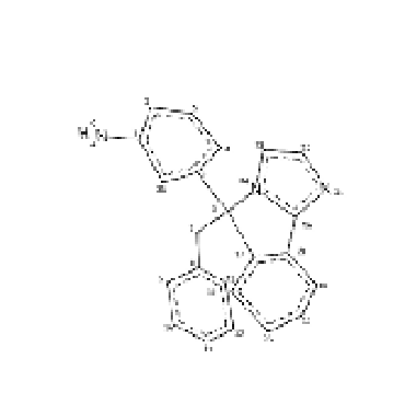 Nc1cccc(C2(Cc3ccccc3)c3ccccc3-c3nccn32)c1